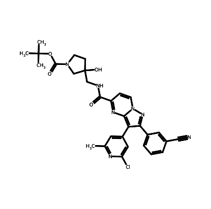 Cc1cc(-c2c(-c3cccc(C#N)c3)nn3ccc(C(=O)NCC4(O)CCN(C(=O)OC(C)(C)C)C4)nc23)cc(Cl)n1